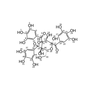 O=C(c1cc(O)c(O)c(O)c1)[C@@]1(O)[C@@H](O)[C@@](O)(C(=O)c2cc(O)c(O)c(O)c2)O[C@H](CO)[C@]1(O)C(=O)c1cc(O)c(O)c(O)c1